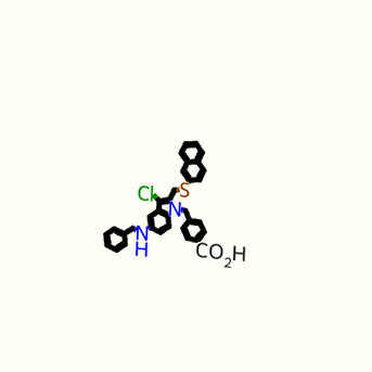 O=C(O)c1ccc(Cn2c(CSc3ccc4ccccc4c3)c(Cl)c3cc(NCc4ccccc4)ccc32)cc1